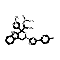 CCN(C=O)/N=C(\OC)C1(c2cnn(C)c2)N[C@@H](c2nc(-c3ccc(F)cn3)c[nH]2)Cc2c1[nH]c1ccccc21